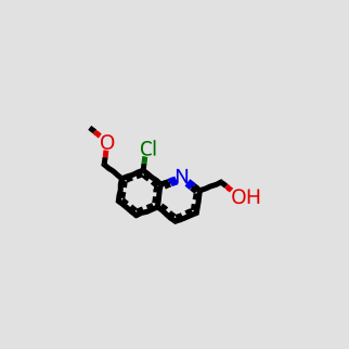 COCc1ccc2ccc(CO)nc2c1Cl